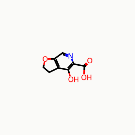 O=C(O)c1ncc2c(c1O)CCO2